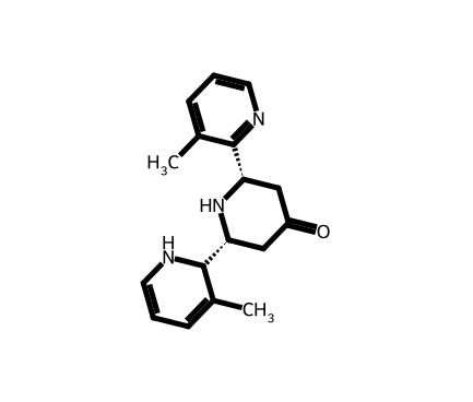 CC1=CC=CNC1[C@H]1CC(=O)C[C@@H](c2ncccc2C)N1